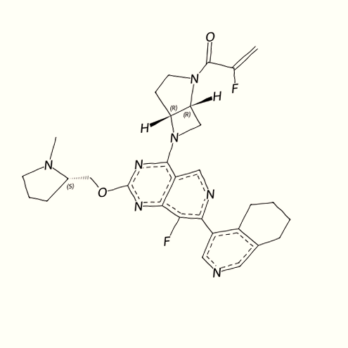 C=C(F)C(=O)N1CC[C@@H]2[C@H]1CN2c1nc(OC[C@@H]2CCCN2C)nc2c(F)c(-c3cncc4c3CCCC4)ncc12